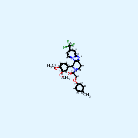 COc1ccc(C2c3c(nc4cc(C(F)(F)F)ccn34)CCN2C(=O)COc2ccc(C)cc2)cc1OC